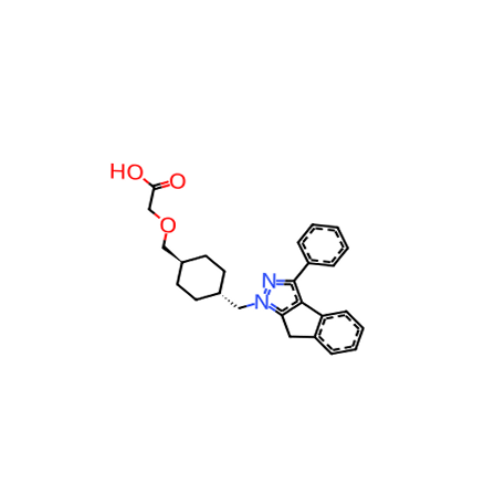 O=C(O)COC[C@H]1CC[C@H](Cn2nc(-c3ccccc3)c3c2Cc2ccccc2-3)CC1